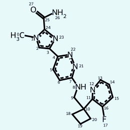 Cn1cc(-c2ccc(NCC3(c4ncccc4F)CCC3)nn2)nc1C(N)=O